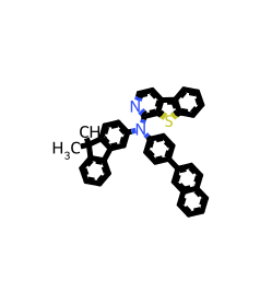 CC1(C)c2ccccc2-c2cc(N(c3ccc(-c4ccc5ccccc5c4)cc3)c3nccc4c3sc3ccccc34)ccc21